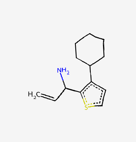 C=CC(N)c1sccc1C1CCCCC1